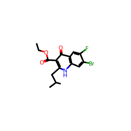 CCOC(=O)c1c(CC(C)C)[nH]c2cc(Br)c(F)cc2c1=O